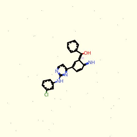 N=C1C=CC(c2ccnc(Nc3cccc(Cl)c3)n2)=C/C1=C(/O)c1ccccc1